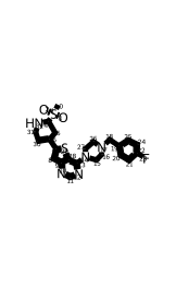 CS(=O)(=O)C1CC(c2cc3ncnc(N4CCN(Cc5ccc(F)cc5)CC4)c3s2)=CCN1